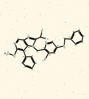 COc1ncc2nc(C(F)F)n(Cc3ncc(SCc4ccccc4)cc3F)c2c1-c1ccccc1